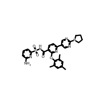 Cc1cc(C)c(Oc2nc(-c3cnc(N4CCCC4)nc3)ccc2C(=O)NS(=O)(=O)c2cccc(N)n2)c(C)c1